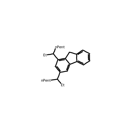 CCCCCC(CC)c1[c]c(C(CC)CCCCC)c2c(c1)-c1cc[c]cc1C2